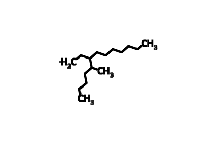 [CH2]CC(CCCCCCC)C(C)CCCC